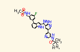 CC(C)(C)C(=O)Nc1cncc(-c2cnc3[nH]nc(-c4cc5c(-c6cc(F)cc(CNS(C)(=O)=O)c6)cccc5[nH]4)c3c2)c1